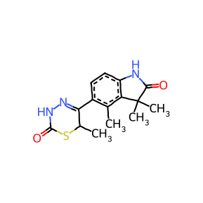 Cc1c(C2=NNC(=O)SC2C)ccc2c1C(C)(C)C(=O)N2